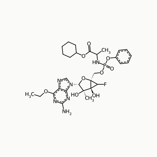 CCOc1nc(N)nc2c1ncn2[C@@H]1O[C@@]2(COP(=O)(NC(C)C(=O)OC3CCCCC3)Oc3ccccc3)C(F)[C@]2(O)[C@@]1(C)O